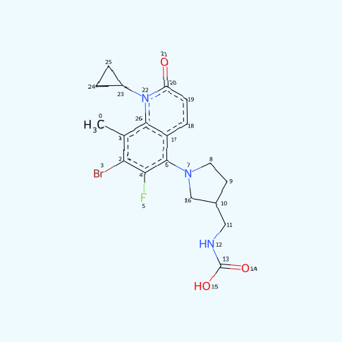 Cc1c(Br)c(F)c(N2CCC(CNC(=O)O)C2)c2ccc(=O)n(C3CC3)c12